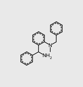 CN(Cc1ccccc1)c1ccccc1C(N)c1ccccc1